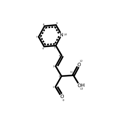 O=CC(C=Cc1ccccn1)C(=O)O